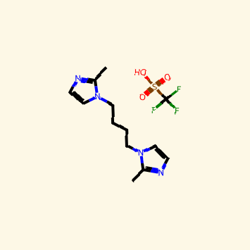 Cc1nccn1CCCCn1ccnc1C.O=S(=O)(O)C(F)(F)F